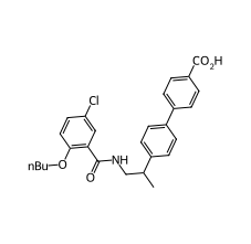 CCCCOc1ccc(Cl)cc1C(=O)NCC(C)c1ccc(-c2ccc(C(=O)O)cc2)cc1